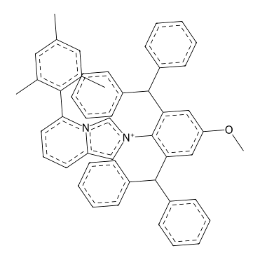 COc1cc(C(c2ccccc2)c2ccccc2)c(-[n+]2cc3cccc(-c4c(C)cc(C)cc4C)n3c2)c(C(c2ccccc2)c2ccccc2)c1